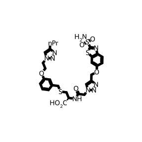 CCCc1cn(CCOc2cccc(CSC[C@@H](NC(=O)Cn3cc(COc4ccc5nc(S(N)(=O)=O)sc5c4)nn3)C(=O)O)c2)nn1